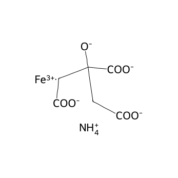 O=C([O-])CC([O-])(CC(=O)[O-])C(=O)[O-].[Fe+3].[NH4+]